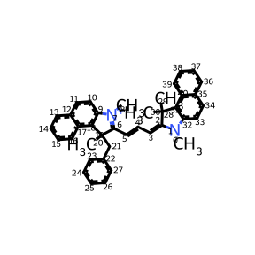 CN1/C(=C/C=C/C2=[N+](C)c3ccc4ccccc4c3C2(C)Cc2ccccc2)C(C)(C)c2c1ccc1ccccc21